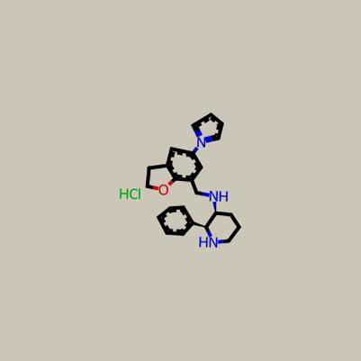 Cl.c1ccc([C@@H]2NCCC[C@@H]2NCc2cc(-n3cccc3)cc3c2OCC3)cc1